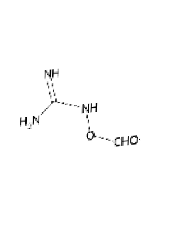 N=C(N)NO[C]=O